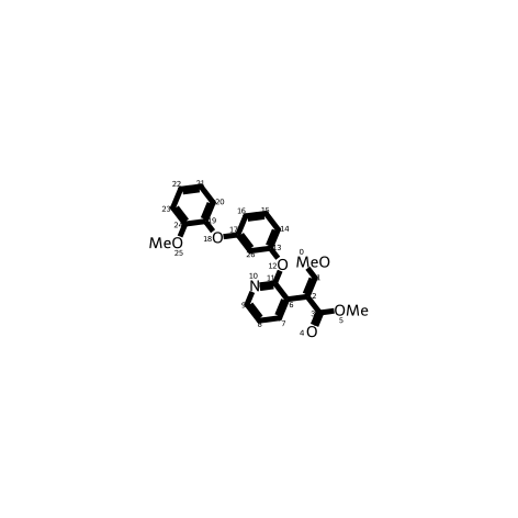 CO/C=C(/C(=O)OC)c1cccnc1Oc1cccc(Oc2ccccc2OC)c1